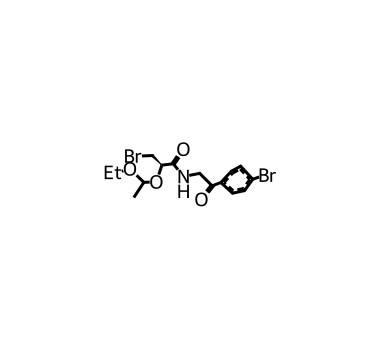 CCOC(C)O[C@@H](CBr)C(=O)NCC(=O)c1ccc(Br)cc1